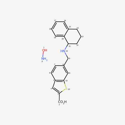 NO.O=C(O)c1cc2ccc(CNC3CCCc4ccccc43)cc2s1